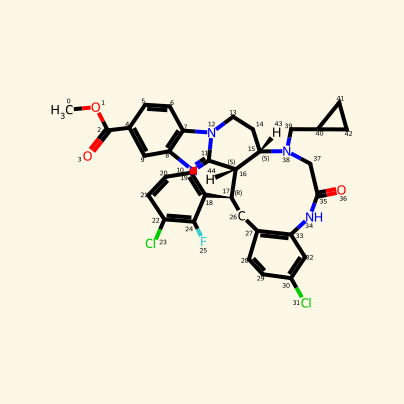 COC(=O)c1ccc2c(c1)nc1n2CC[C@H]2[C@@H]1[C@H](c1cccc(Cl)c1F)Cc1ccc(Cl)cc1NC(=O)CN2CC1CC1